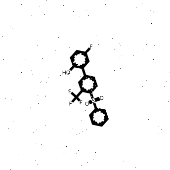 O=S(=O)(c1ccccc1)c1ccc(-c2cc(F)ccc2O)cc1C(F)(F)F